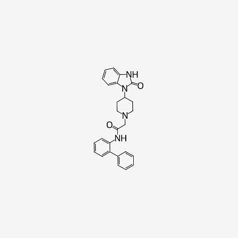 O=C(CN1CCC(n2c(=O)[nH]c3ccccc32)CC1)Nc1ccccc1-c1ccccc1